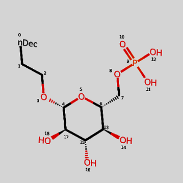 CCCCCCCCCCCCO[C@@H]1O[C@H](COP(=O)(O)O)[C@@H](O)[C@H](O)[C@H]1O